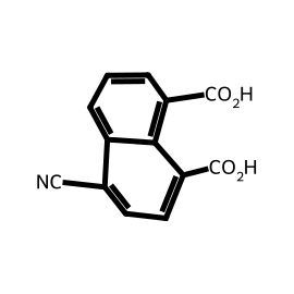 N#Cc1ccc(C(=O)O)c2c(C(=O)O)cccc12